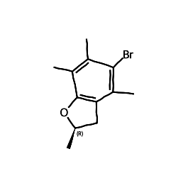 Cc1c(C)c2c(c(C)c1Br)C[C@@H](C)O2